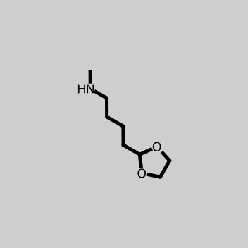 CNCCCCC1OCCO1